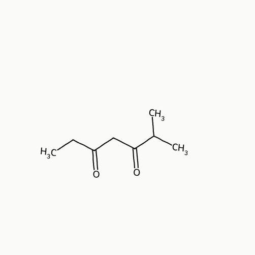 CCC(=O)CC(=O)C(C)C